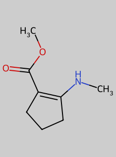 CNC1=C(C(=O)OC)CCC1